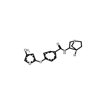 Cc1coc(Oc2ccc(C(=O)NC3CN4CC[C@H]3C4)cc2)c1